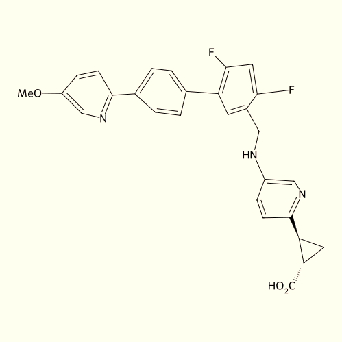 COc1ccc(-c2ccc(-c3cc(CNc4ccc([C@H]5C[C@@H]5C(=O)O)nc4)c(F)cc3F)cc2)nc1